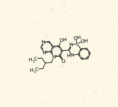 CCC(CC)Cn1c(=O)c(C2=NS(O)(O)c3ccccc3N2)c(O)c2cncnc21